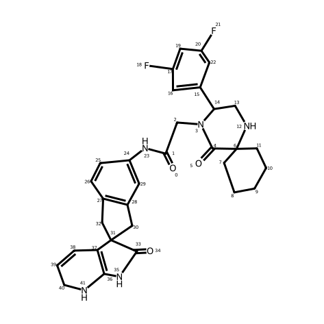 O=C(CN1C(=O)C2(CCCCC2)NCC1c1cc(F)cc(F)c1)Nc1ccc2c(c1)CC1(C2)C(=O)NC2=C1C=CCN2